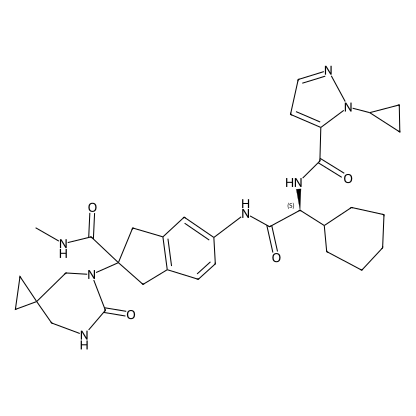 CNC(=O)C1(N2CC3(CC3)CNC2=O)Cc2ccc(NC(=O)[C@@H](NC(=O)c3ccnn3C3CC3)C3CCCCC3)cc2C1